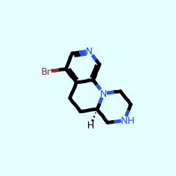 Brc1cncc2c1CC[C@@H]1CNCCN21